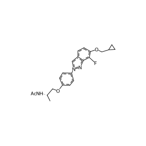 CC(=O)N[C@@H](C)COc1ccc(-n2cc3ccc(OCC4CC4)c(F)c3n2)cc1